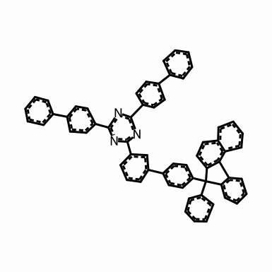 c1ccc(-c2ccc(-c3nc(-c4ccc(-c5ccccc5)cc4)nc(-c4cccc(-c5ccc(C6(c7ccccc7)c7ccccc7-c7c6ccc6ccccc76)cc5)c4)n3)cc2)cc1